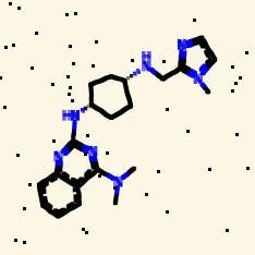 CN(C)c1nc(N[C@H]2CC[C@@H](NCc3nccn3C)CC2)nc2ccccc12